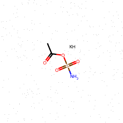 CC(=O)OS(N)(=O)=O.[KH]